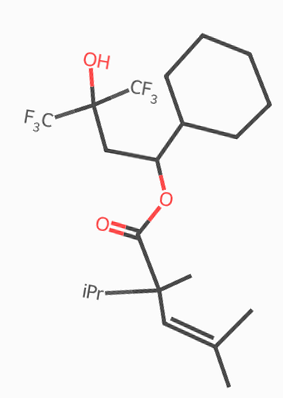 CC(C)=CC(C)(C(=O)OC(CC(O)(C(F)(F)F)C(F)(F)F)C1CCCCC1)C(C)C